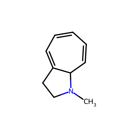 CN1CCC2=CC=CC=CC21